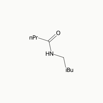 CCCC(=O)NCC(C)CC